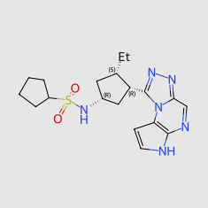 CC[C@H]1C[C@@H](NS(=O)(=O)C2CCCC2)C[C@H]1c1nnc2cnc3[nH]ccc3n12